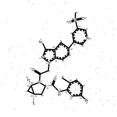 CC(=O)c1nn(CC(=O)N2[C@H](C(=O)Nc3nc(Br)ccc3C)C[C@@]3(C)C[C@@H]23)c2ccc(-c3cncc(S(C)(=O)=O)c3)cc12